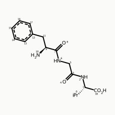 CC(C)[C@H](NC(=O)CNC(=O)[C@@H](N)Cc1ccccc1)C(=O)O